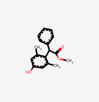 COC(=O)C(c1ccccc1)c1c(C)cc(O)cc1C